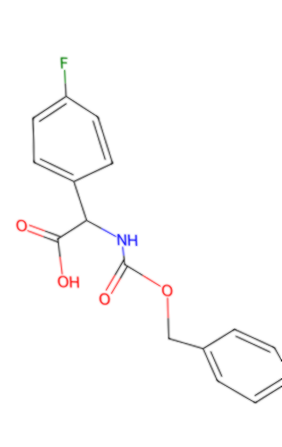 O=C(NC(C(=O)O)c1ccc(F)cc1)OCc1ccccc1